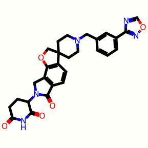 O=C1CCC(N2Cc3c(ccc4c3OCC43CCN(Cc4cccc(-c5ncon5)c4)CC3)C2=O)C(=O)N1